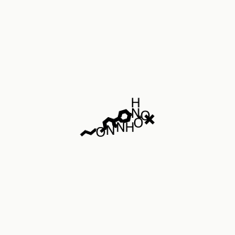 CCCCOc1ccc2c(n1)[nH]c1cc(NC(=O)OC(C)(C)C)ccc12